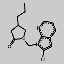 CCCC1CC(=O)N(Cn2c(Cl)cc3cccnc32)C1